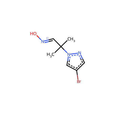 CC(C)(/C=N/O)n1cc(Br)cn1